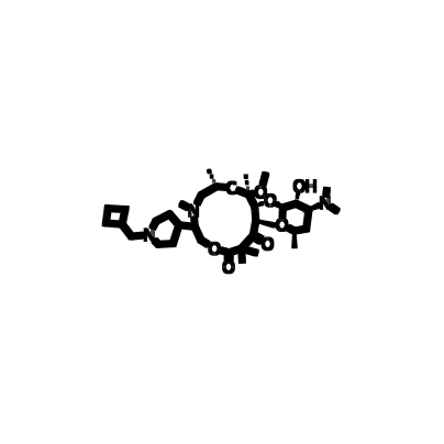 CO[C@]1(C)C[C@@H](C)CN(C)C(C2CCN(CC3CCC3)CC2)COC(=O)C(C)(C)C(=O)[C@H](C)[C@H]1O[C@@H]1O[C@H](C)C[C@H](N(C)C)[C@H]1O